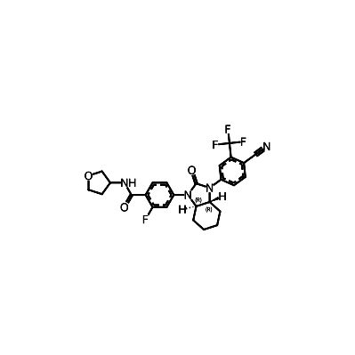 N#Cc1ccc(N2C(=O)N(c3ccc(C(=O)NC4CCOC4)c(F)c3)[C@@H]3CCCC[C@H]32)cc1C(F)(F)F